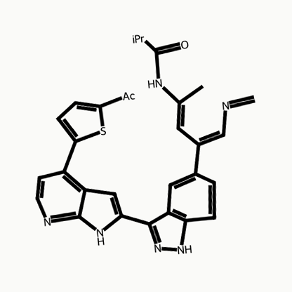 C=N/C=C(\C=C(/C)NC(=O)C(C)C)c1ccc2[nH]nc(-c3cc4c(-c5ccc(C(C)=O)s5)ccnc4[nH]3)c2c1